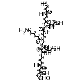 NCCCCCC(=O)N(CCNC(=O)[C@H](CCCCNC(=O)CCS)NC(=O)CCS)CCNC(=O)[C@H](CCCCNC(=O)CC(S)OC=O)NC(=O)CCS